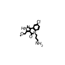 COCc1[nH]nc2c1c(=O)n(CCCN)c1ccc(Cl)cc21